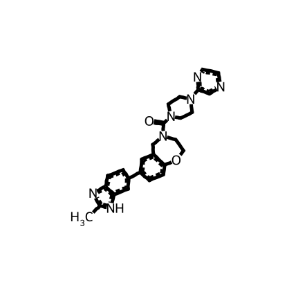 Cc1nc2ccc(-c3ccc4c(c3)CN(C(=O)N3CCN(c5cnccn5)CC3)CCO4)cc2[nH]1